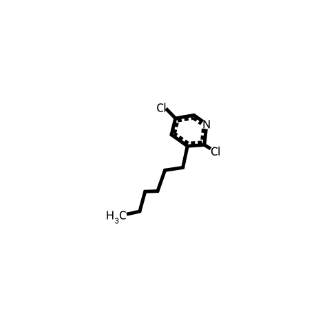 CCCCCCc1cc(Cl)cnc1Cl